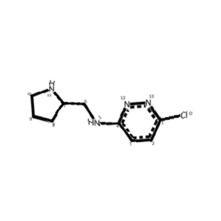 Clc1ccc(NCC2CCCN2)nn1